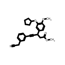 COC(=O)CC(C#Cc1cccc(CC#N)c1)c1ccc(OC)c(OC2CCCC2)c1